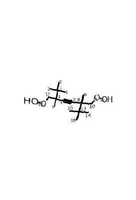 CC(C)(C)C(C)(C#CC(C)(COO)C(C)(C)C)COO